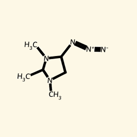 CC1N(C)CC(N=[N+]=[N-])N1C